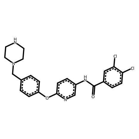 O=C(Nc1ccc(Oc2ccc(CN3CCNCC3)cc2)nc1)c1ccc(Cl)c(Cl)c1